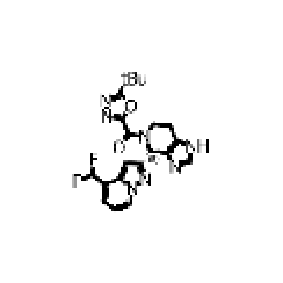 CC(C)(C)c1nnc(C(=O)N2CCc3[nH]cnc3[C@@H]2c2cc3c(C(F)F)cccn3n2)o1